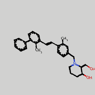 Cc1cc(CN2CCCC(O)C2CO)ccc1C=Cc1cccc(-c2ccccc2)c1C